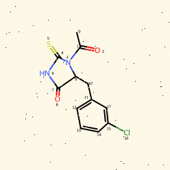 CC(=O)N1C(=S)NC(=O)C1Cc1cccc(Cl)c1